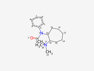 CC(=O)N(c1ccccc1)C1CCCCCC1N(C)C